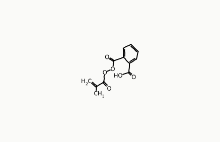 C=C(C)C(=O)OOC(=O)c1ccccc1C(=O)O